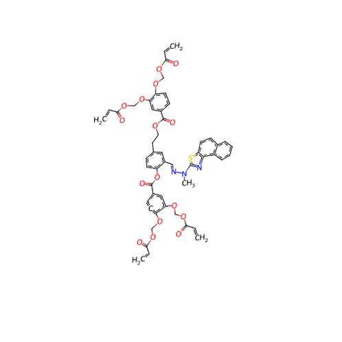 C=CC(=O)OCOc1ccc(C(=O)OCCc2ccc(OC(=O)c3ccc(OCOC(=O)C=C)c(OCOC(=O)C=C)c3)c(/C=N/N(C)c3nc4c(ccc5ccccc54)s3)c2)cc1OCOC(=O)C=C